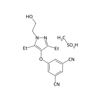 CCc1nn(CCO)c(CC)c1Oc1cc(C#N)cc(C#N)c1.CS(=O)(=O)O